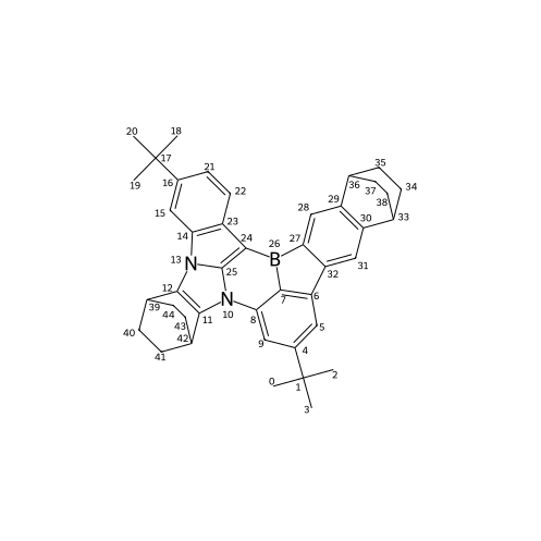 CC(C)(C)c1cc2c3c(c1)-n1c4c(n5c6cc(C(C)(C)C)ccc6c(c15)B3c1cc3c(cc1-2)C1CCC3CC1)C1CCC4CC1